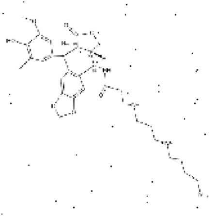 COc1cc(C2c3cc4c(cc3[C@@H](NC(=O)CCNCCCNCCCCN)[C@H]3COC(=O)[C@H]23)OCO4)cc(C)c1O